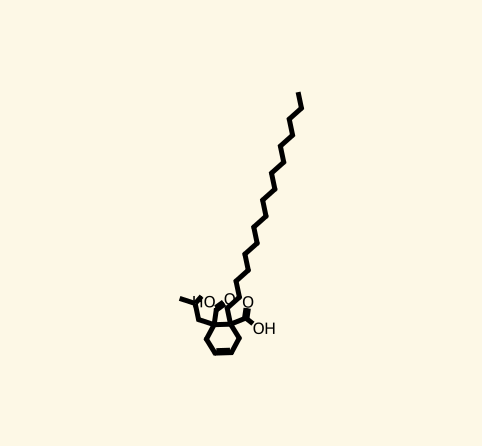 CCCCCCCCCCCCCCCCCC1(C(=O)O)CC=CCC1(CC(C)C)C(=O)O